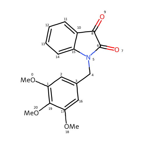 COc1cc(CN2C(=O)C(=O)c3ccccc32)cc(OC)c1OC